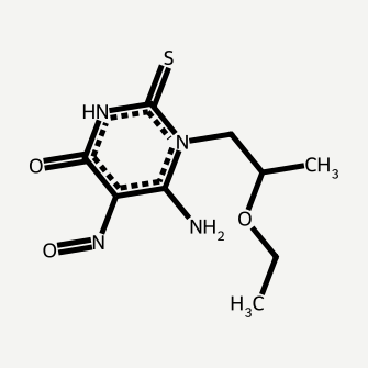 CCOC(C)Cn1c(N)c(N=O)c(=O)[nH]c1=S